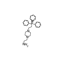 NCCN1CCN(CC[PH](c2ccccc2)(c2ccccc2)c2ccccc2)CC1